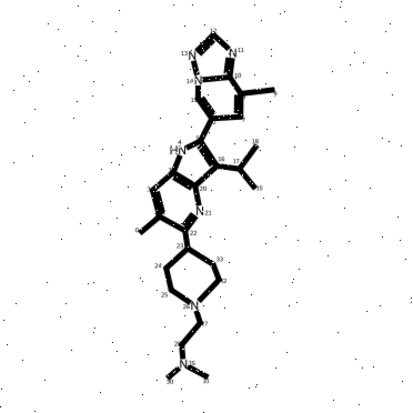 Cc1cc2[nH]c(-c3cc(C)c4ncnn4c3)c(C(C)C)c2nc1C1CCN(CCN(C)C)CC1